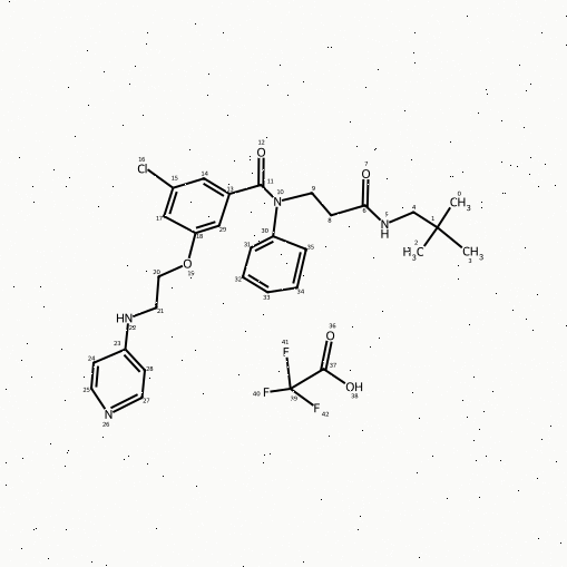 CC(C)(C)CNC(=O)CCN(C(=O)c1cc(Cl)cc(OCCNc2ccncc2)c1)c1ccccc1.O=C(O)C(F)(F)F